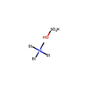 CC[N+](C)(CC)CC.O=S(=O)(O)O